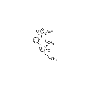 CCCCC(CC)C(=O)[O-].CCCCC(CC)C(=O)[O-].Cc1ccccc1.[Ba+2]